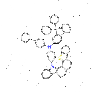 c1ccc(-c2ccc(N(c3ccc(-n4c5ccccc5c5ccc6ccc7c8ccccc8sc7c6c54)cc3)c3ccc4c(c3)C(c3ccccc3)(c3ccccc3)c3ccccc3-4)cc2)cc1